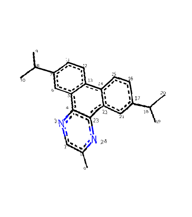 Cc1cnc2c3cc(C(C)C)ccc3c3ccc(C(C)C)cc3c2n1